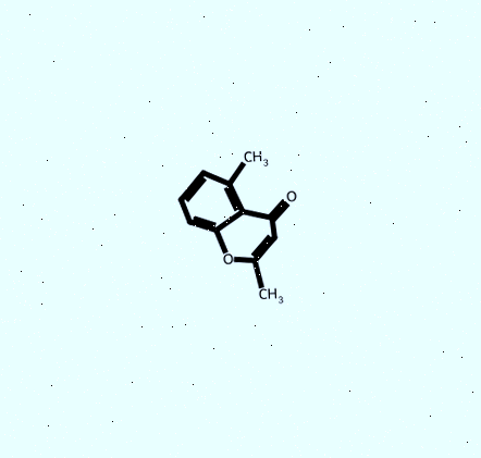 Cc1cc(=O)c2c(C)cccc2o1